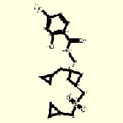 O=C(NC[C@]1(CC2CC2)C[C@@H](CS(=O)(=O)CC2CC2)C1)c1ccc(C(F)(F)F)cc1Cl